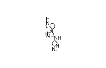 CN(C)c1ccc(NC2C[C@@H]3c4cccc5[nH]cc(c45)C[C@H]3N(C)C2)cn1